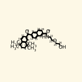 CC1(C)CCC(C)(C)c2cc(C(=O)c3ccc4cc(C(=O)NCCOCCO)ccc4c3)ccc21